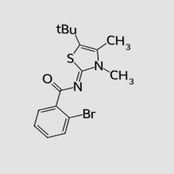 Cc1c(C(C)(C)C)s/c(=N\C(=O)c2ccccc2Br)n1C